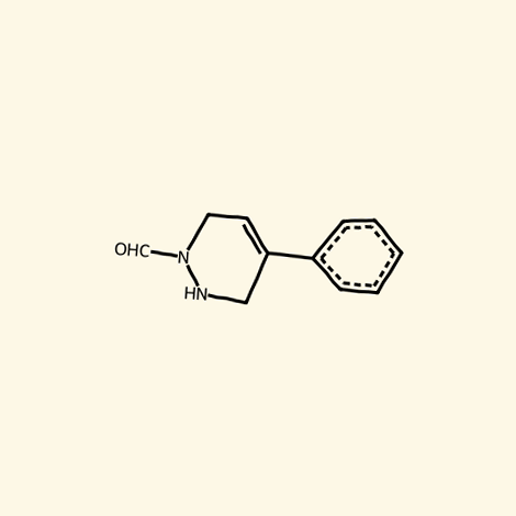 O=CN1CC=C(c2ccccc2)CN1